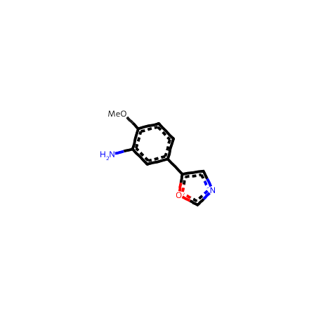 COc1ccc(-c2cnco2)cc1N